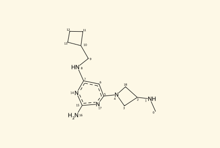 CNC1CN(c2cc(NCC3CCC3)nc(N)n2)C1